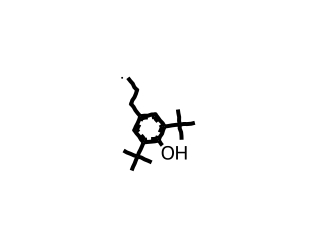 [CH2]CCc1cc(C(C)(C)C)c(O)c(C(C)(C)C)c1